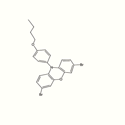 CCCCOc1ccc(N2c3ccc(Br)cc3Oc3cc(Br)ccc32)cc1